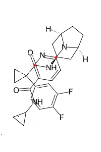 O=C(NC1CC1)c1ccc(N2[C@@H]3CC[C@H]2C[C@@H](NC(=O)C2(c4ccc(F)c(F)c4)CC2)C3)nc1